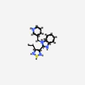 CCc1nsnc1-c1nc2ccccc2n1Cc1cccnc1